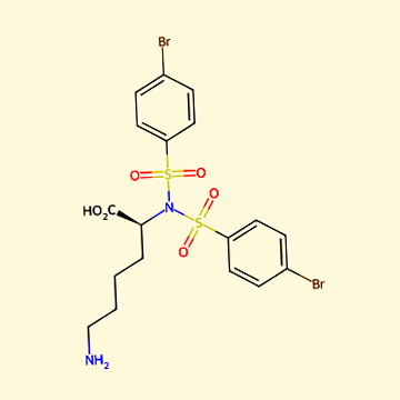 NCCCC[C@@H](C(=O)O)N(S(=O)(=O)c1ccc(Br)cc1)S(=O)(=O)c1ccc(Br)cc1